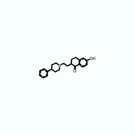 O=C1c2ccc(O)cc2CCC1CCN1CCC(c2ccccc2)CC1